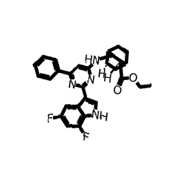 CCOC(=O)[C@H]1C2CCC(CC2)[C@@H]1Nc1cc(-c2ccccc2)nc(-c2c[nH]c3c(F)cc(F)cc23)n1